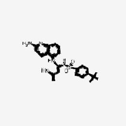 CC(=N)/C=C(\Nc1cccc2nc(N)ccc12)NS(=O)(=O)c1ccc(C(C)(C)C)cc1